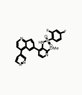 COc1nccc(-c2ccc3nccc(-c4ccnnc4)c3c2)c1NS(=O)(=O)c1ccc(F)cc1F